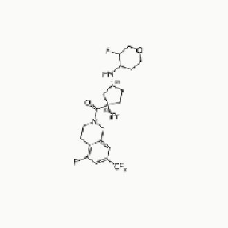 CC(C)[C@]1(C(=O)N2CCc3c(F)cc(C(F)(F)F)cc3C2)CC[C@@H](NC2CCOCC2F)C1